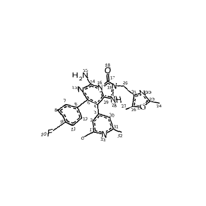 Cc1cc(-c2c(-c3ccc(F)cc3)nc(N)[n+]3c(=O)n(Cc4nc(C)oc4C)[nH]c23)cc(C)n1